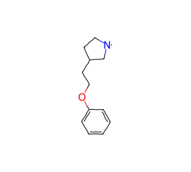 c1ccc(OCCC2CC[N]C2)cc1